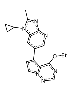 CCOc1ncnn2ccc(-c3cnc4nc(C)n(C5CC5)c4c3)c12